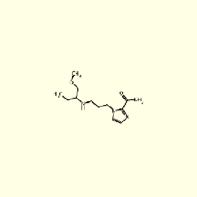 CCC(COC)NCCCn1c[c]nc1C(N)=O